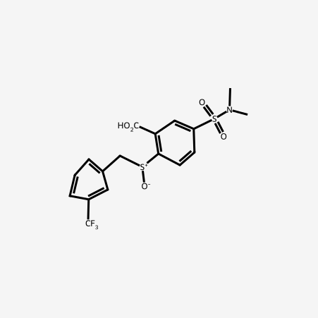 CN(C)S(=O)(=O)c1ccc([S+]([O-])Cc2cccc(C(F)(F)F)c2)c(C(=O)O)c1